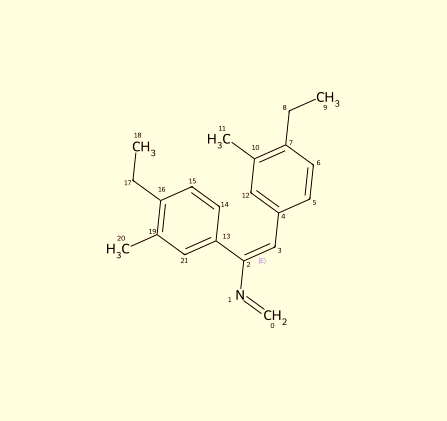 C=N/C(=C/c1ccc(CC)c(C)c1)c1ccc(CC)c(C)c1